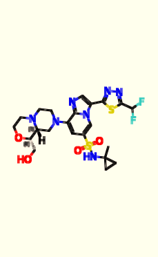 CC1(NS(=O)(=O)c2cc(N3CCN4CCO[C@@H](CO)[C@H]4C3)c3ncc(-c4nnc(C(F)F)s4)n3c2)CC1